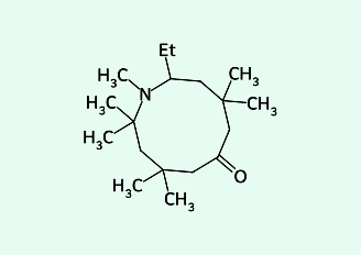 CCC1CC(C)(C)CC(=O)CC(C)(C)CC(C)(C)N1C